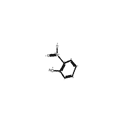 O=[N+]([O-])c1[c]cc[c]c1O